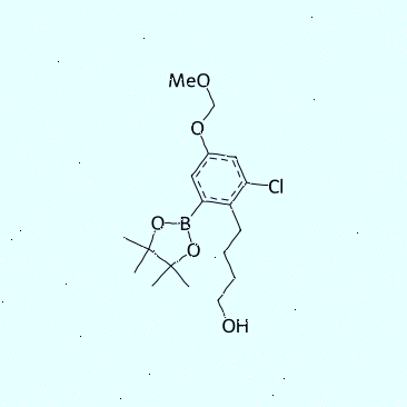 COCOc1cc(Cl)c(CCCCO)c(B2OC(C)(C)C(C)(C)O2)c1